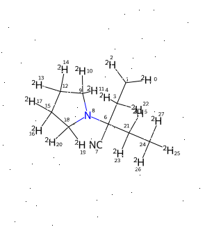 [2H]C([2H])C([2H])([2H])C(C#N)(N1C([2H])([2H])C([2H])([2H])C([2H])([2H])C1([2H])[2H])C([2H])([2H])C([2H])([2H])[2H]